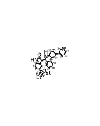 CCOP(=O)(OCC)c1ccc2c(c1)/C(=C(/Nc1ccc(-c3cccnc3)cc1)c1ccccc1)C(=O)N2